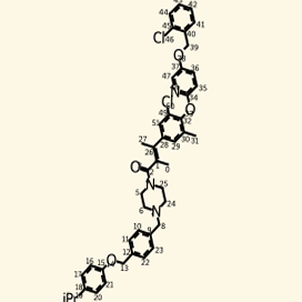 C/C(C(=O)N1CCN(Cc2ccc(COc3ccc(C(C)C)cc3)cc2)CC1)=C(/C)c1cc(C)c(Oc2ccc(OCc3ccccc3Cl)cn2)c(Cl)c1